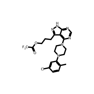 Cc1ccc(Cl)cc1N1CCN(c2ncnc3[nH]nc(CCCOC(=O)C(F)(F)F)c23)CC1